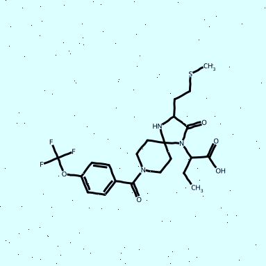 CCC(C(=O)O)N1C(=O)C(CCSC)NC12CCN(C(=O)c1ccc(OC(F)(F)F)cc1)CC2